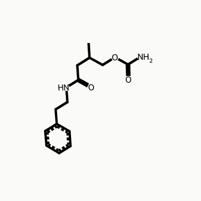 CC(COC(N)=O)CC(=O)NCCc1ccccc1